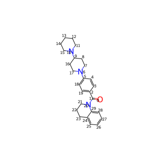 O=C(c1ccc(N2CCC(N3CCCCC3)CC2)cc1)N1CCCc2ccccc21